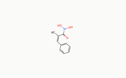 N#CC(=Cc1ccccc1)C(=O)N(O)O